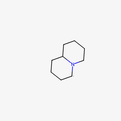 [CH]1CCCC2CCCCN12